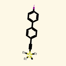 CC[SH](C)(C#Cc1ccc(-c2ccc(I)cc2)cc1)(CC)CC